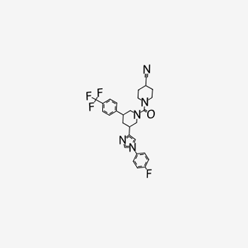 N#CC1CCN(C(=O)N2CC(c3ccc(C(F)(F)F)cc3)CC(c3cn(-c4ccc(F)cc4)cn3)C2)CC1